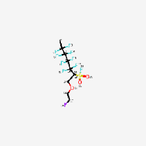 CC(F)(F)C(F)(F)C(F)(F)C(F)(F)C(COCCI)S(=O)(=O)F